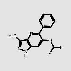 Cc1n[nH]c2cc(OC(F)F)c(-c3ccccc3)nc12